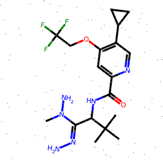 CN(N)/C(=N\N)C(NC(=O)c1cc(OCC(F)(F)F)c(C2CC2)cn1)C(C)(C)C